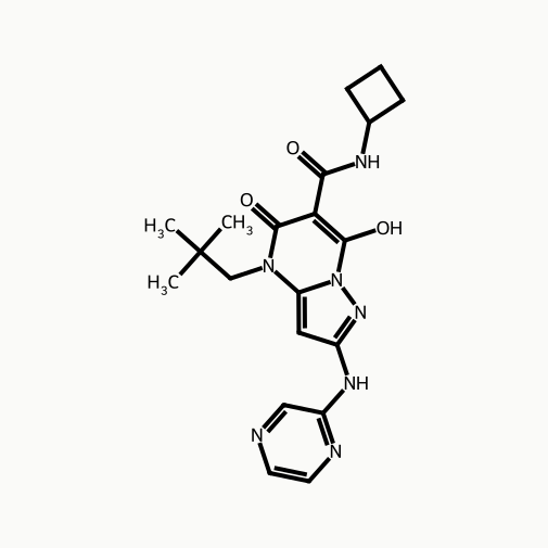 CC(C)(C)Cn1c(=O)c(C(=O)NC2CCC2)c(O)n2nc(Nc3cnccn3)cc12